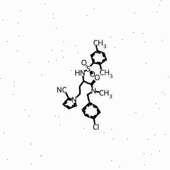 Cc1ccc(C)c(S(=O)(=O)NC(CCn2cccc2C#N)C(=O)N(C)Cc2ccc(Cl)cc2)c1